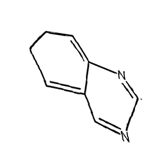 [c]1ncc2c(n1)=CCCC=2